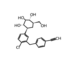 C#Cc1ccc(Cc2cc([C@@H]3C[C@H](CO)[C@@H](O)[C@H](O)[C@H]3O)ccc2Cl)cc1